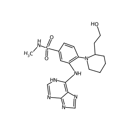 CNS(=O)(=O)c1ccc(N2CCCCC2CCO)c(Nc2[nH]cnc3ncnc2-3)c1